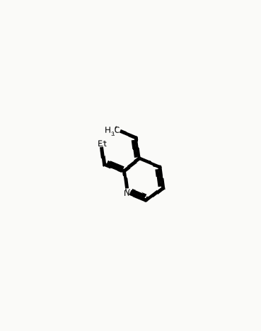 C/C=c1/cccn/c1=C/CC